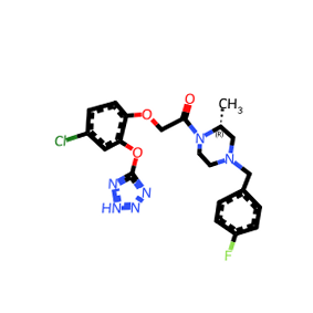 C[C@@H]1CN(Cc2ccc(F)cc2)CCN1C(=O)COc1ccc(Cl)cc1Oc1nn[nH]n1